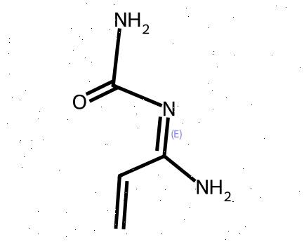 C=C/C(N)=N\C(N)=O